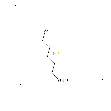 CCCCCCCCCCC(C)=O.S